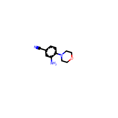 N#Cc1ccc(N2CCOCC2)c(N)c1